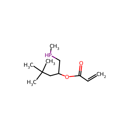 C=CC(=O)OC(CPC)CC(C)(C)C